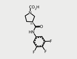 O=C(Nc1cc(F)c(F)c(F)c1)[C@H]1CCN(C(=O)O)C1